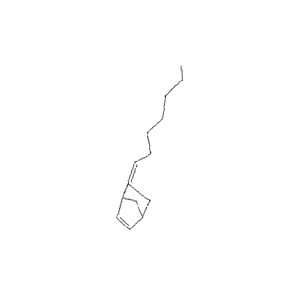 CCCCCC/C=C1\CC2C=CC1C2